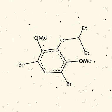 CCC(CC)Oc1c(OC)c(Br)cc(Br)c1OC